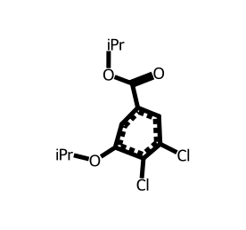 CC(C)OC(=O)c1cc(Cl)c(Cl)c(OC(C)C)c1